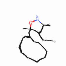 CC(C)CC1C(C)NOC1(C)C1CCCCCCCC1